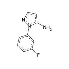 Nc1ccnn1-c1cccc(F)c1